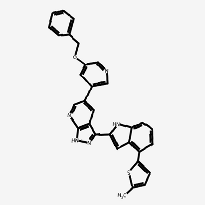 Cc1ccc(-c2cccc3[nH]c(-c4n[nH]c5ncc(-c6cncc(OCc7ccccc7)c6)cc45)cc23)s1